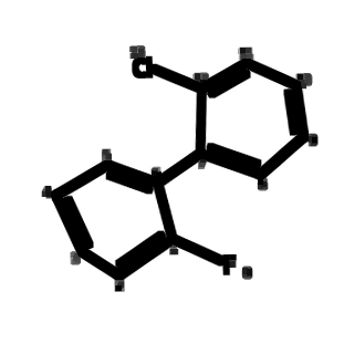 Fc1ccccc1-c1cc[c]cc1Cl